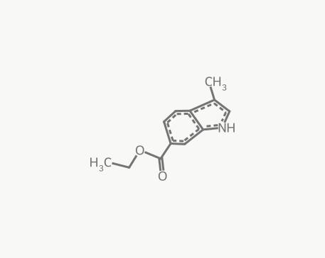 CCOC(=O)c1ccc2c(C)c[nH]c2c1